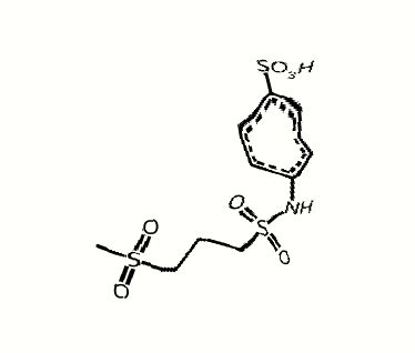 CS(=O)(=O)CCCS(=O)(=O)Nc1ccc(S(=O)(=O)O)cc1